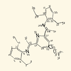 CCc1cccc(CC)c1N=C(C)c1cccc(C(C)=Nc2c(CC)cccc2CC)n1.[Cl-].[Cl-].[V+2]